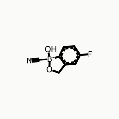 N#C[B-]1(O)OCc2cc(F)ccc21